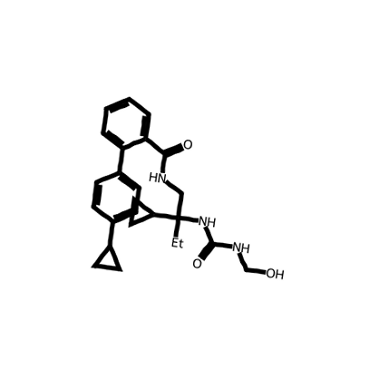 CCC(CNC(=O)c1ccccc1-c1ccc(C2CC2)cc1)(NC(=O)NCO)C1CC1